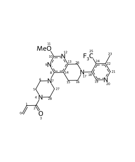 C=CC(=O)N1CCN(c2nc(OC)nc3c2CCN(c2cncc(C)c2C(F)(F)F)C3)CC1